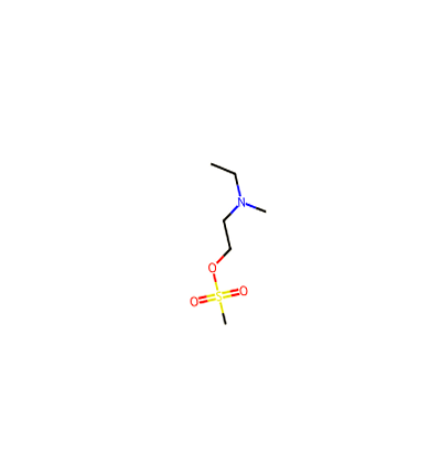 CCN(C)CCOS(C)(=O)=O